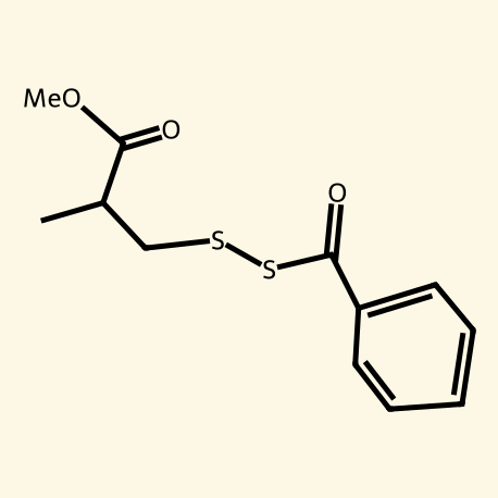 COC(=O)C(C)CSSC(=O)c1ccccc1